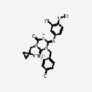 CCOc1ccc(/N=c2\[nH]c(=O)n(CC3(C(=O)O)CC3)c(=O)n2Cc2ccc(Cl)cc2)cc1Cl